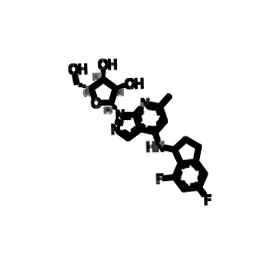 Cc1cc(NC2CCc3cc(F)cc(F)c32)c2cnn([C@@H]3O[C@H](CO)[C@@H](O)[C@H]3O)c2n1